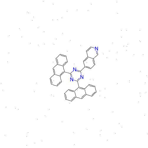 c1ccc2c(-c3nc(-c4ccc5cnccc5c4)nc(-c4c5ccccc5cc5ccccc45)n3)c3ccccc3cc2c1